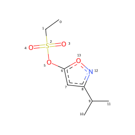 CCS(=O)(=O)Oc1cc(C(C)C)no1